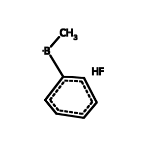 C[B]c1ccccc1.F